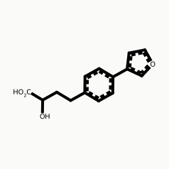 O=C(O)C(O)CCc1ccc(-c2ccoc2)cc1